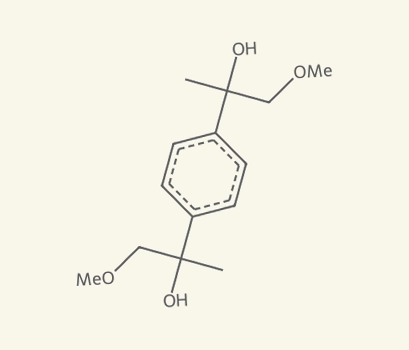 COCC(C)(O)c1ccc(C(C)(O)COC)cc1